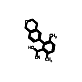 Cc1ccc(C)c(C(O)C#N)c1-c1ccc2c(c1)CCOC2